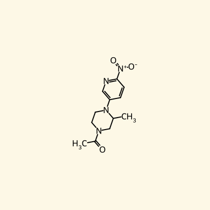 CC(=O)N1CCN(c2ccc([N+](=O)[O-])nc2)C(C)C1